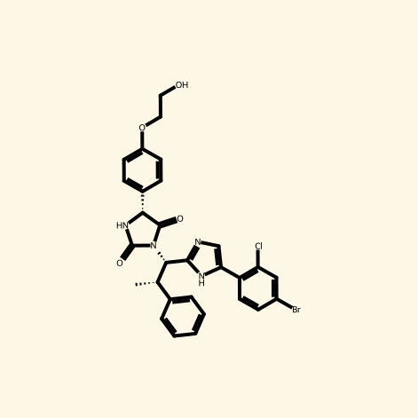 C[C@@H](c1ccccc1)[C@@H](c1ncc(-c2ccc(Br)cc2Cl)[nH]1)N1C(=O)N[C@H](c2ccc(OCCO)cc2)C1=O